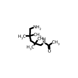 CC(=O)NCC(C)(C)CC(C)(C)CN